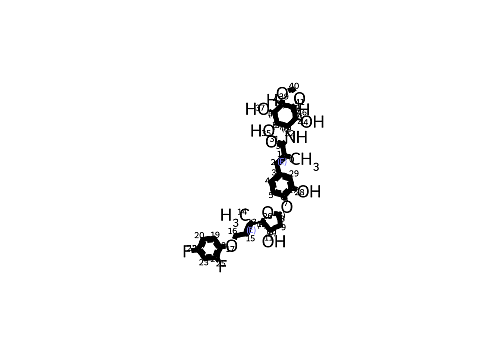 C/C(=C\c1ccc(O[C@H]2C[C@H](O)[C@@H](/C(C)=C/COc3ccc(F)cc3F)O2)c(O)c1)C(=O)N[C@@H]1[C@H](O)[C@@H](O)[C@H]2OCO[C@H]2[C@@H]1O